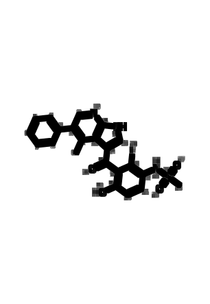 Cc1c(-c2ccccc2)cnc2[nH]cc(C(=O)c3c(O)ccc(NS(C)(=O)=O)c3F)c12